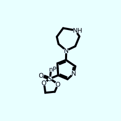 CCCS1(=O)(c2cncc(N3CCCNCC3)c2)OCCO1